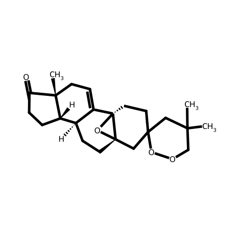 CC1(C)COOC2(CC[C@@]34O[C@@]3(CC[C@@H]3C4=CC[C@@]4(C)C(=O)CC[C@@H]34)C2)C1